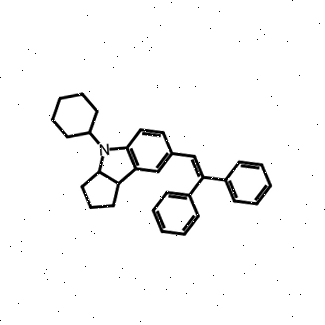 C(=C(c1ccccc1)c1ccccc1)c1ccc2c(c1)C1CCCC1N2C1CCCCC1